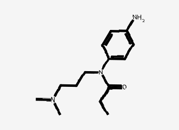 CCC(=O)N(CCCN(C)C)c1ccc(N)cc1